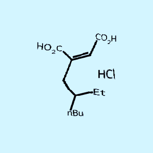 CCCCC(CC)CC(=CC(=O)O)C(=O)O.Cl